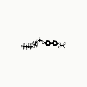 C[C@H](Cl)C(=O)Oc1ccc(-c2ccc(OCC(F)(F)OC(F)(F)C(F)(F)OC(F)(F)C(F)(F)C(F)(F)C(F)(F)F)cc2)cc1